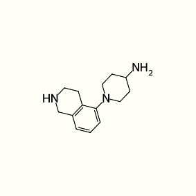 NC1CCN(c2cccc3c2CCNC3)CC1